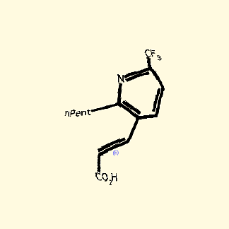 CCCCCc1nc(C(F)(F)F)ccc1/C=C/C(=O)O